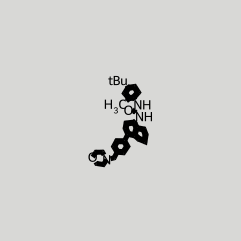 Cc1cc(C(C)(C)C)ccc1NC(=O)Nc1ccc(-c2ccc(CN3CCOCC3)cc2)c2ccccc12